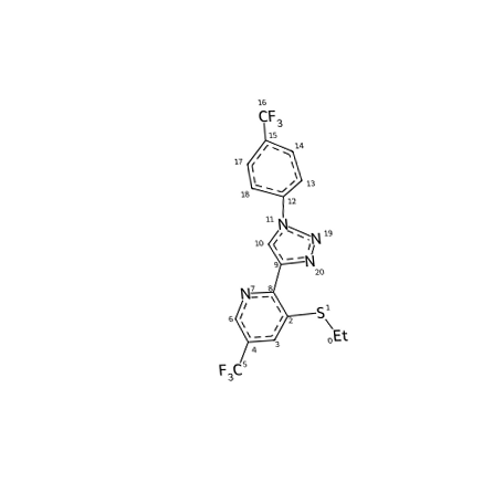 CCSc1cc(C(F)(F)F)cnc1-c1cn(-c2ccc(C(F)(F)F)cc2)nn1